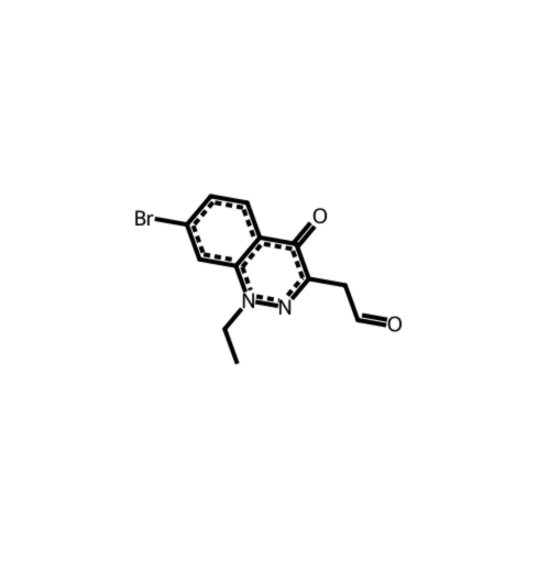 CCn1nc(CC=O)c(=O)c2ccc(Br)cc21